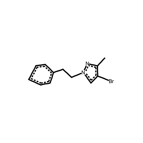 Cc1nn(CCc2ccccc2)cc1Br